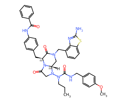 CCCN(C(=O)NCc1ccc(OC)cc1)N1CC(=O)N2[C@@H](Cc3ccc(NC(=O)c4ccccc4)cc3)C(=O)N(Cc3cccc4sc(N)nc34)C[C@@H]21